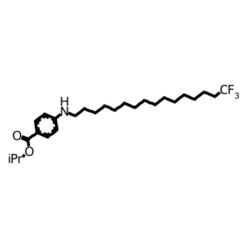 CC(C)OC(=O)c1ccc(NCCCCCCCCCCCCCCCC(F)(F)F)cc1